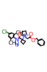 Cc1cc(Cl)cc(C)c1NC(=O)C1([N+]2(CC(=O)OCc3ccccc3)CCCC2)CCC1